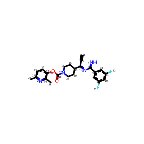 C#C/C(=N\C(=N)c1cc(F)cc(F)c1)C1CCN(C(=O)Oc2ccc(C)nc2C)CC1